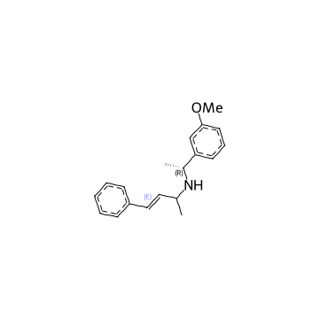 COc1cccc([C@@H](C)NC(C)/C=C/c2ccccc2)c1